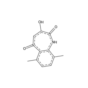 Cc1ccc(C)c2c(=O)cc(O)c(=O)[nH]c12